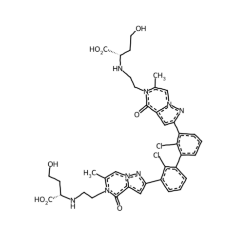 Cc1cn2nc(-c3cccc(-c4cccc(-c5cc6c(=O)n(CCN[C@@H](CCO)C(=O)O)c(C)cn6n5)c4Cl)c3Cl)cc2c(=O)n1CCN[C@@H](CCO)C(=O)O